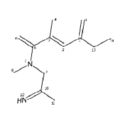 C=C(/C=C(\C)C(=C)N(C)CC(C)=N)CC